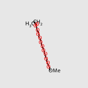 C=C(C)C(=O)OCCOCCOCCOCCOCCOCCOCCOCCOCCOCCOCCOC